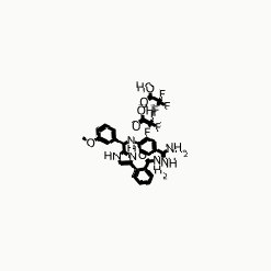 COc1cccc(C(Nc2ccc(C(=N)N)cc2)c2nc(-c3ccccc3C(N)=O)c[nH]2)c1.O=C(O)C(F)(F)F.O=C(O)C(F)(F)F